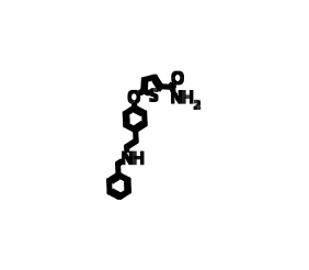 NC(=O)c1ccc(Oc2ccc(CCNCc3ccccc3)cc2)s1